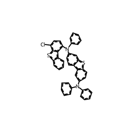 Clc1ccc(N(c2ccccc2)c2ccc3c(c2)sc2ccc(N(c4ccccc4)c4ccccc4)cc23)c2c1sc1ccccc12